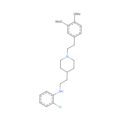 COc1ccc(CCN2CCC(CCNc3ccccc3Cl)CC2)cc1OC